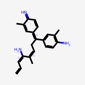 C=C/C=C(N)\C(C)=C/C/C(=C1/C=CC(=N)C(C)=C1)c1ccc(N)c(C)c1